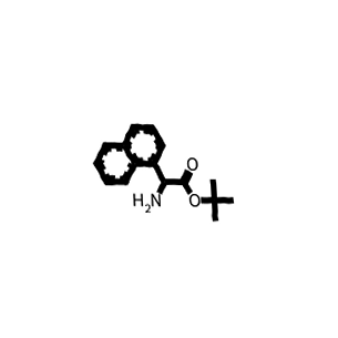 CC(C)(C)OC(=O)C(N)c1cccc2ccccc12